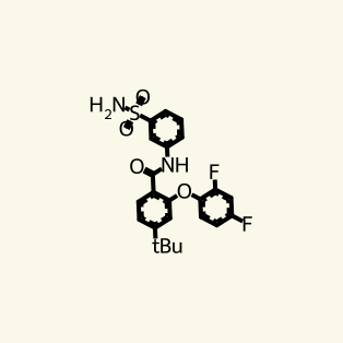 CC(C)(C)c1ccc(C(=O)Nc2cccc(S(N)(=O)=O)c2)c(Oc2ccc(F)cc2F)c1